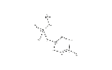 CC1=CCC(C2CC2(C)CO)CC1